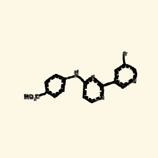 CCOC(=O)c1ccc(Nc2ccnc(-c3cncc(Br)c3)n2)cc1